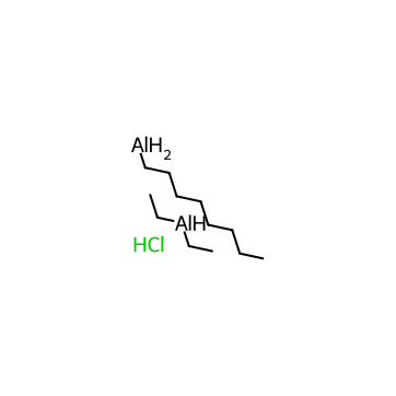 CCCCCCC[CH2][AlH2].C[CH2][AlH][CH2]C.Cl